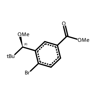 COC(=O)c1ccc(Br)c([C@H](OC)C(C)(C)C)c1